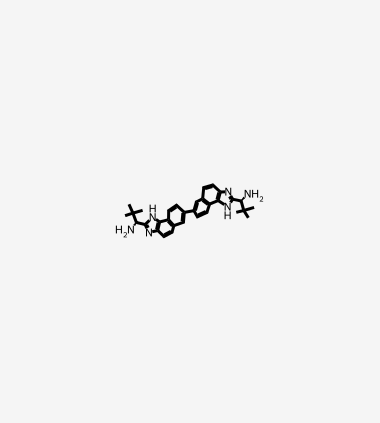 CC(C)(C)[C@H](N)c1nc2ccc3cc(-c4ccc5c(ccc6nc([C@@H](N)C(C)(C)C)[nH]c65)c4)ccc3c2[nH]1